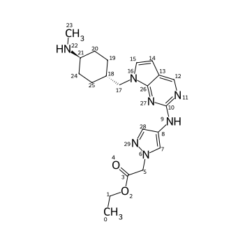 CCOC(=O)Cn1cc(Nc2ncc3ccn(C[C@H]4CC[C@H](NC)CC4)c3n2)cn1